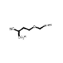 CCCCCCCOCCC(C#N)C(=O)O